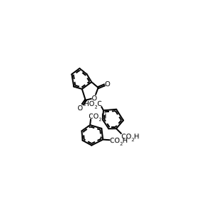 O=C(O)c1ccc(C(=O)O)cc1.O=C(O)c1cccc(C(=O)O)c1.O=C1OC(=O)c2ccccc21